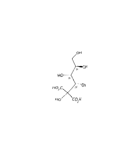 O=C(O)C(O)(C(=O)O)[C@@H](O)[C@H](O)[C@H](O)CO